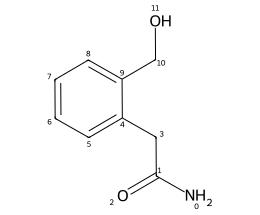 NC(=O)Cc1ccccc1CO